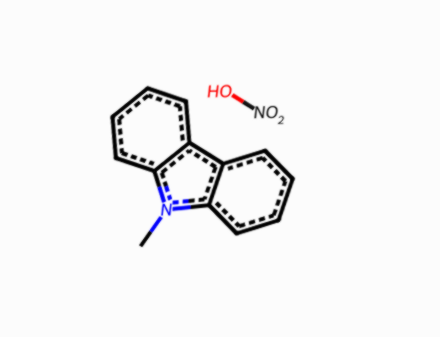 Cn1c2ccccc2c2ccccc21.O=[N+]([O-])O